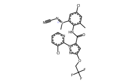 Cc1cc(Cl)cc(/S(C)=N/C#N)c1NC(=O)c1cc(OCC(F)(F)F)nn1-c1ncccc1Cl